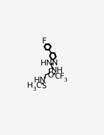 CC(=S)NCCCC[C@H](NC(=O)C(F)(F)F)c1nc2ccc(-c3ccc(F)cc3)cc2[nH]1